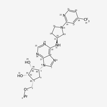 CC(C)OC[C@H]1C[C@@H](n2cnc3c(N[C@H]4CCN(c5cc(C(F)(F)F)ccn5)C4)ncnc32)[C@@H](O)[C@H]1O